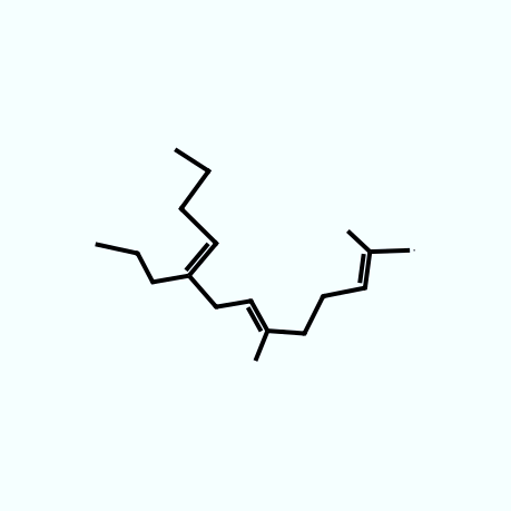 [CH2]C(C)=CCCC(C)=CCC(=CCCC)CCC